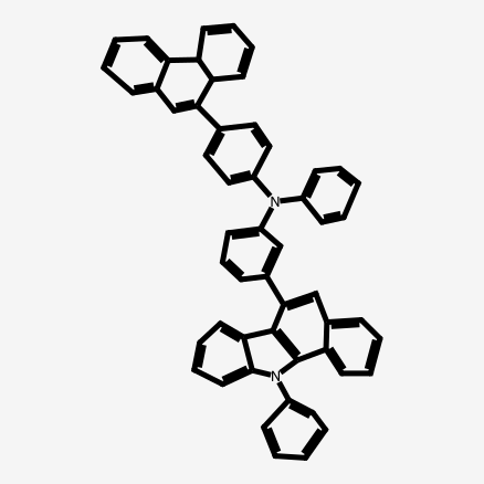 C1=CC2C(c3ccc(N(c4ccccc4)c4cccc(-c5cc6ccccc6c6c5c5ccccc5n6-c5ccccc5)c4)cc3)=Cc3ccccc3C2C=C1